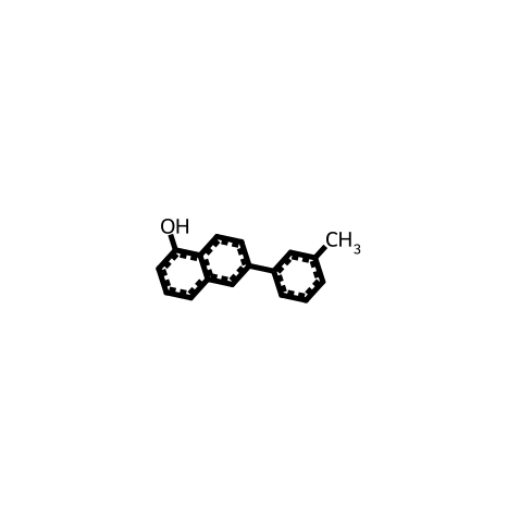 Cc1cccc(-c2ccc3c(O)cccc3c2)c1